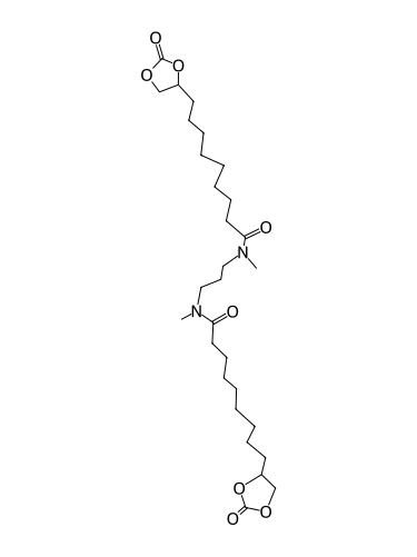 CN(CCCN(C)C(=O)CCCCCCCCC1COC(=O)O1)C(=O)CCCCCCCCC1COC(=O)O1